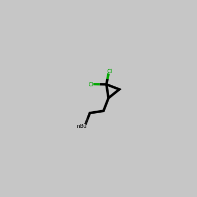 CCCCCCC1CC1(Cl)Cl